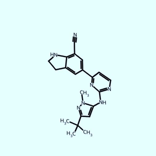 Cn1nc(C(C)(C)C)cc1Nc1nccc(-c2cc(C#N)c3c(c2)CCN3)n1